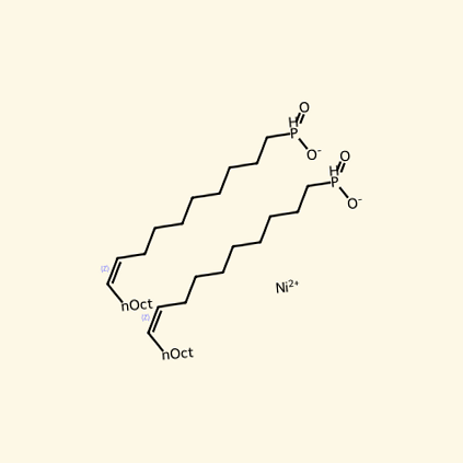 CCCCCCCC/C=C\CCCCCCCC[PH](=O)[O-].CCCCCCCC/C=C\CCCCCCCC[PH](=O)[O-].[Ni+2]